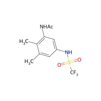 CC(=O)Nc1cc(NS(=O)(=O)C(F)(F)F)cc(C)c1C